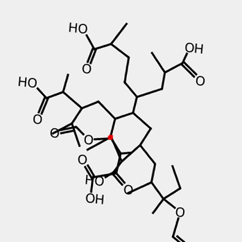 CCC(C)(OC=O)C(C)CC(CC(C(CCC(C)C(=O)O)CC(C)C(=O)O)C(CC(C(C)C)C(C)C(=O)O)C(C)C(C)CC(=O)O)C(COC=O)C(=O)O